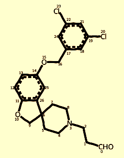 O=CCCN1CCC2(CC1)COc1ccc(OCc3cc(Cl)cc(Cl)c3)cc12